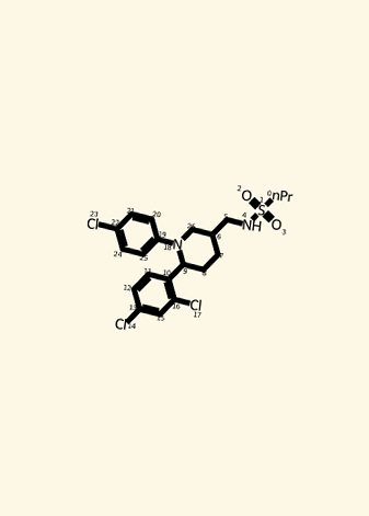 CCCS(=O)(=O)NCC1CCC(c2ccc(Cl)cc2Cl)N(c2ccc(Cl)cc2)C1